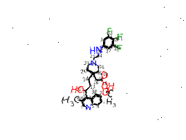 COc1ccc2ncc(C)c([C@@H](O)CCC3(CC(=O)O)CCN(CCNc4cc(F)c(F)c(F)c4)CC3)c2c1